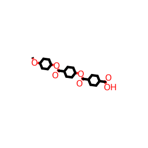 COC1CCC(OC(=O)C2CCC(OC(=O)C3CCC(C(=O)O)CC3)CC2)CC1